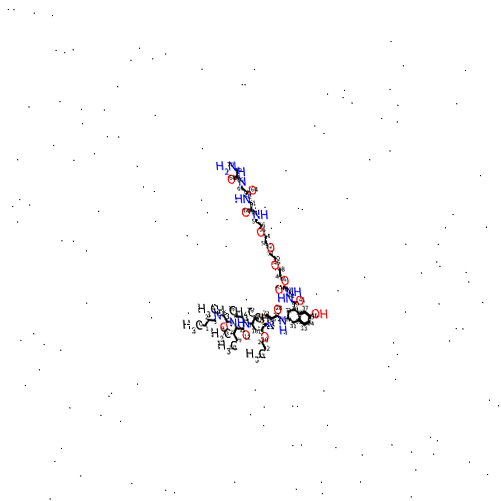 CCCCN(C)CC(=O)N[C@H](C(=O)N(CCC)C(C[C@@H](OCCC)c1nc(C(=O)N[C@H]2Cc3ccc(O)cc3[C@H](C(=O)NNC(=O)OCCOCCOCCOCCNC(=O)CNC(=O)CNC(=O)CN)C2)cs1)C(C)C)[C@@H](C)CC